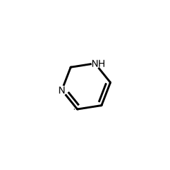 [C]1=NCNC=C1